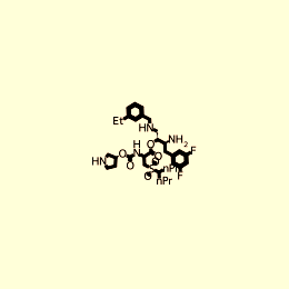 CCCC(CCC)S(=O)(=O)CC(NC(=O)O[C@@H]1CCNC1)C(=O)O[C@H](CNCc1cccc(CC)c1)[C@@H](N)Cc1cc(F)cc(F)c1